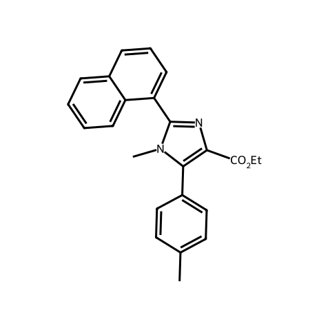 CCOC(=O)c1nc(-c2cccc3ccccc23)n(C)c1-c1ccc(C)cc1